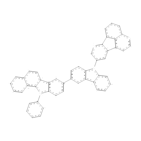 c1ccc(-n2c3ccc(-c4ccc5c(c4)c4ccccc4n5-c4cnc5c(c4)-c4ccnc6cccc-5c46)cc3c3ccc4ccccc4c32)cc1